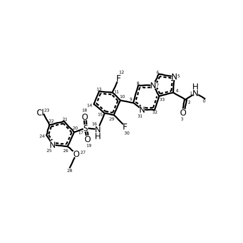 CNC(=O)c1ncn2cc(-c3c(F)ccc(NS(=O)(=O)c4cc(Cl)cnc4OC)c3F)ncc12